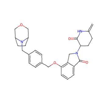 C=C1CCC(N2Cc3c(OCc4ccc(CN5C6CCC5COC6)cc4)cccc3C2=O)C(=O)N1